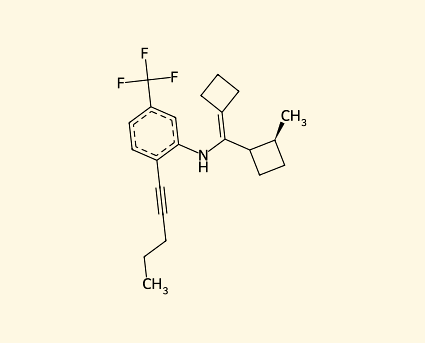 CCCC#Cc1ccc(C(F)(F)F)cc1NC(=C1CCC1)C1CC[C@@H]1C